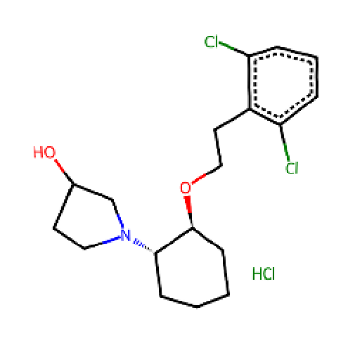 Cl.OC1CCN([C@H]2CCCC[C@@H]2OCCc2c(Cl)cccc2Cl)C1